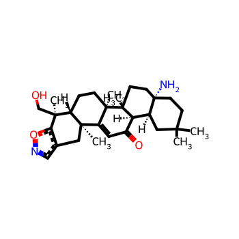 CC1(C)CC[C@]2(N)CC[C@]3(C)[C@H](C(=O)C=C4[C@@]5(C)Cc6cnoc6[C@@](C)(CO)[C@@H]5CC[C@]43C)[C@@H]2C1